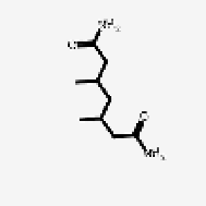 CC(CC(N)=O)CC(C)CC(N)=O